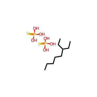 CCCCCC(CC)CC.OP(O)(O)=S.OP(O)(O)=S